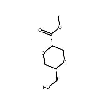 COC(=O)[C@@H]1CO[C@@H](CO)CO1